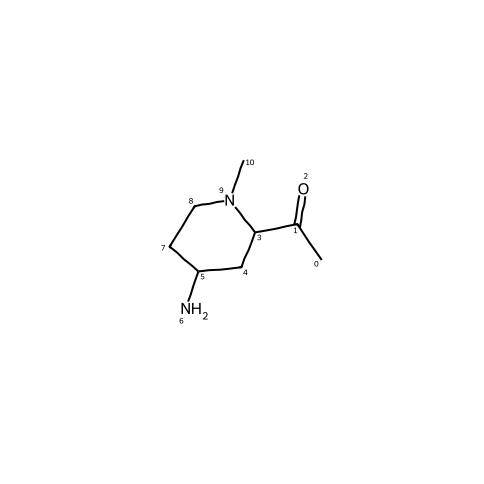 CC(=O)C1CC(N)CCN1C